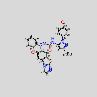 CC(C)(C)c1cc(NC(=O)NCc2ccccc2Oc2ccc3sc4nccn4c3c2)n(-c2ccc(O)cc2)n1